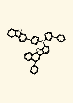 c1ccc(-c2cccc(N(c3ccc(-c4ccc5c(c4)oc4ccccc45)cc3)c3cccc4c3oc3c5ccccc5c(-c5ccccc5)cc43)c2)cc1